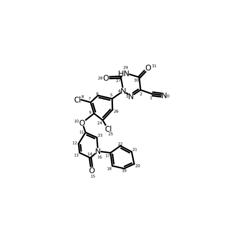 N#Cc1nn(-c2cc(Cl)c(Oc3ccc(=O)n(-c4ccccc4)c3)c(Cl)c2)c(=O)[nH]c1=O